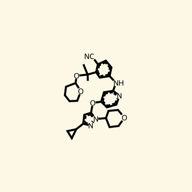 CC(C)(OC1CCCCO1)c1cc(Nc2cc(Oc3cc(C4CC4)nn3C3CCOCC3)ccn2)ccc1C#N